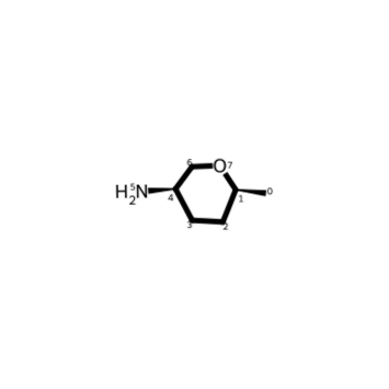 C[C@H]1CC[C@@H](N)CO1